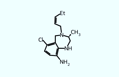 CC/C=C\CN1Cc2c(Cl)ccc(N)c2NC[C@@H]1C